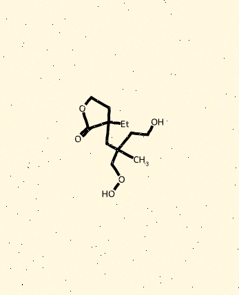 CCC1(CC(C)(CCO)COO)CCOC1=O